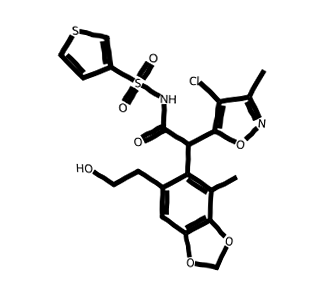 Cc1noc(C(C(=O)NS(=O)(=O)c2ccsc2)c2c(CCO)cc3c(c2C)OCO3)c1Cl